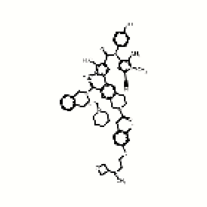 Cc1c(N(C(=O)c2cc(-c3cc4c(cc3C(=O)N3Cc5ccccc5C[C@H]3CN3CCCCC3)CN(C(=O)Cc3ccc(OCCN(C)C5COC5)cc3F)CC4)n(C)c2C)c2ccc(O)cc2)cc(C#N)n1C